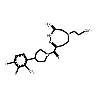 C=C1CN(CCOC)CC/C(C(=O)N2CCC(c3ccc(F)c(F)c3C(F)(F)F)CC2)=N\N1